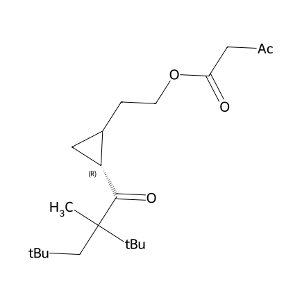 CC(=O)CC(=O)OCCC1C[C@H]1C(=O)C(C)(CC(C)(C)C)C(C)(C)C